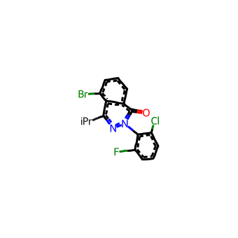 CC(C)c1nn(-c2c(F)cccc2Cl)c(=O)c2cccc(Br)c12